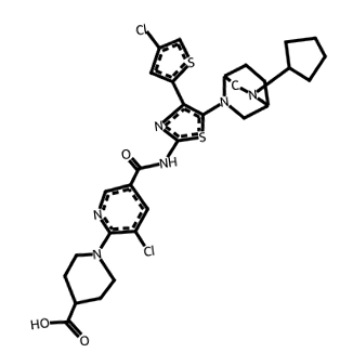 O=C(Nc1nc(-c2cc(Cl)cs2)c(N2CC3CCC2CN3C2CCCC2)s1)c1cnc(N2CCC(C(=O)O)CC2)c(Cl)c1